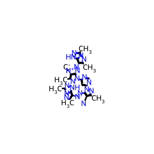 [C-]#[N+]c1c(C)nn(-c2cc(-n3nc(C)c(C#N)c3/N=N/c3c(C)nn4c(C)n[nH]c34)ncn2)c1/N=N/c1c(C)nn2c(C)n[nH]c12